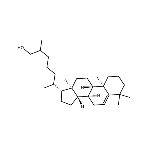 CC(CO)CCCC(C)[C@H]1CC[C@H]2[C@@H]3CC=C4C(C)(C)CCC[C@]4(C)[C@H]3CC[C@]12C